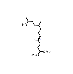 COC(CC/C(C)=C/CCC(C)CCC(C)O)OC